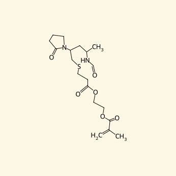 C=C(C)C(=O)OCCOC(=O)CCSCC(CC(C)NC=O)N1CCCC1=O